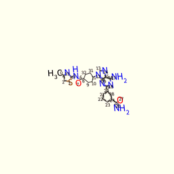 Cc1csc(NC(=O)C2CCC(n3cnc4c(N)nc(-c5cccc(C(N)=O)c5)nc43)CC2)n1